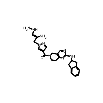 NN/C=C(\N)Cn1cc(C(=O)N2CCc3nc(NC4Cc5ccccc5C4)ncc3C2)cn1